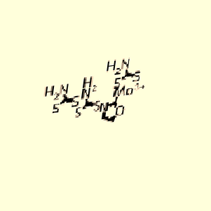 NC(=S)[S-].NC(=S)[S-].NC(=S)[S-].[Mo+3][c]1ncco1